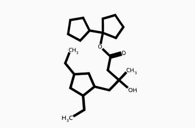 CCC1CC(CC)C(CC(C)(O)CC(=O)OC2(C3CCCC3)CCCC2)C1